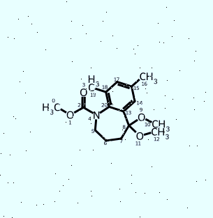 COC(=O)N1CCCC(OC)(OC)c2cc(C)cc(C)c21